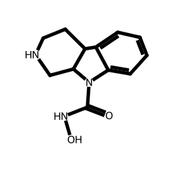 O=C(NO)N1c2ccccc2C2CCNCC21